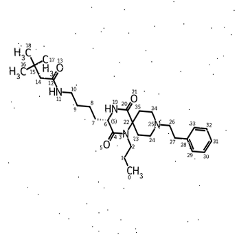 CCCN1C(=O)[C@H](CCCCNC(=O)CC(C)(C)C)NC(=O)C12CCN(CCc1ccccc1)CC2